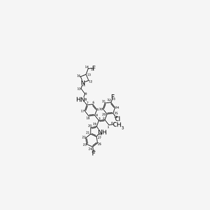 CC/C(=C(/c1ccc(NCCN2CC(CF)C2)cc1)c1cc2ccc(F)cc2[nH]1)c1ccc(F)cc1Cl